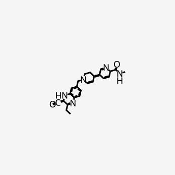 CCC1=Nc2ccc(CN3C=CC(=C4C=CC(C(=O)NC)N=C4)CC3)cc2NC1=C=O